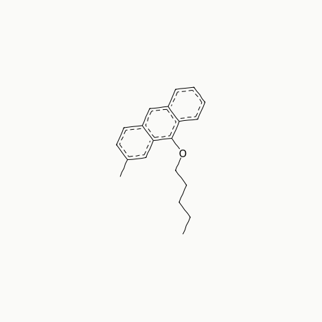 CCCCCOc1c2ccccc2cc2ccc(C)cc12